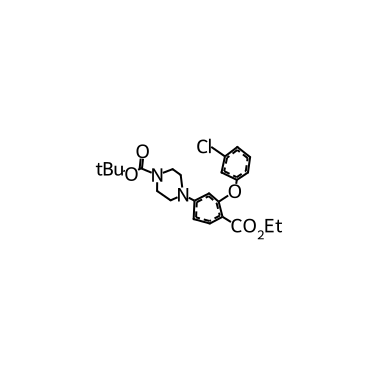 CCOC(=O)c1ccc(N2CCN(C(=O)OC(C)(C)C)CC2)cc1Oc1cccc(Cl)c1